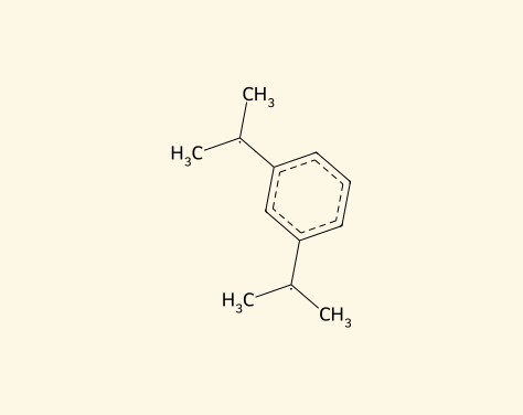 C[C](C)c1cccc([C](C)C)c1